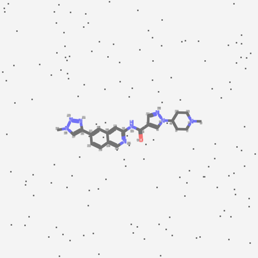 CN1CCC(n2cc(C(=O)Nc3cc4cc(-c5cn(C)nn5)ccc4cn3)cn2)CC1